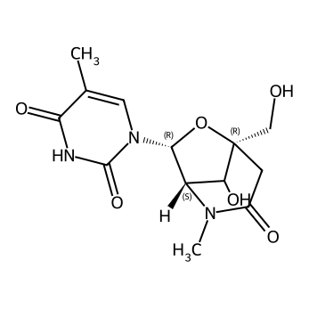 Cc1cn([C@@H]2O[C@@]3(CO)CC(=O)N(C)[C@H]2C3O)c(=O)[nH]c1=O